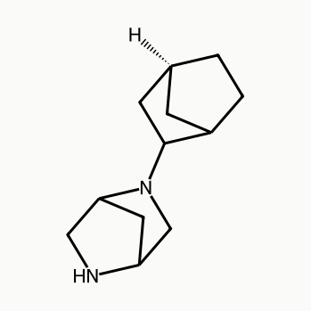 C1C[C@H]2CC1C(N1CC3CC1CN3)C2